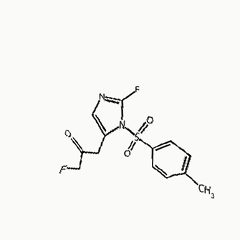 Cc1ccc(S(=O)(=O)n2c(CC(=O)CF)cnc2F)cc1